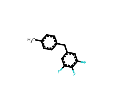 Cc1ccc(Cc2cc(F)c(F)c(F)c2)cc1